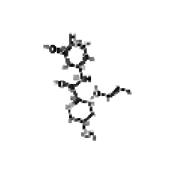 C/C=C/O[C@@H]1CC(C(F)(F)F)=CC=C1C(=O)Nc1cc[nH]c(=O)c1